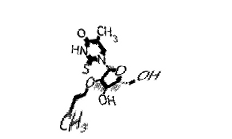 CCCO[C@@H]1[C@H](O)[C@@H](CO)O[C@H]1n1cc(C)c(=O)[nH]c1=S